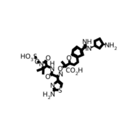 CC(ON=C(C(=O)NC1C(=O)N(OS(=O)(=O)O)C1(C)C)c1csc(N)n1)(C(=O)O)C1CCc2cc(C(=N)N[C@H]3CC[C@@H](N)C3)ccc2O1